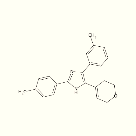 Cc1ccc(-c2nc(-c3cccc(C)c3)c(C3=CCOCC3)[nH]2)cc1